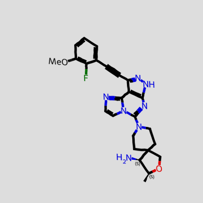 COc1cccc(C#Cc2n[nH]c3nc(N4CCC5(CC4)CO[C@@H](C)[C@H]5N)n4ccnc4c23)c1F